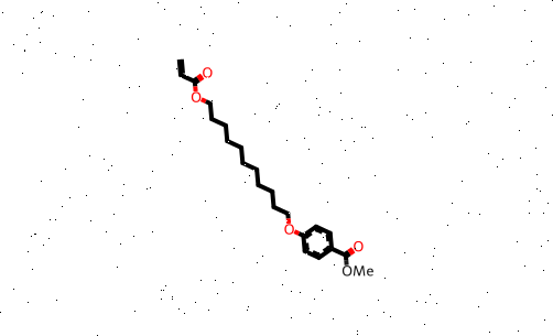 C=CC(=O)OCCCCCCCCCCCOc1ccc(C(=O)OC)cc1